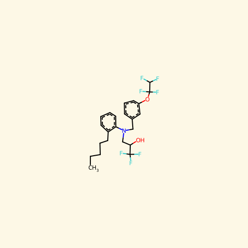 CCCCCc1ccccc1N(Cc1cccc(OC(F)(F)C(F)F)c1)CC(O)C(F)(F)F